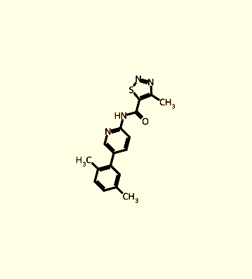 Cc1ccc(C)c(-c2ccc(NC(=O)c3snnc3C)nc2)c1